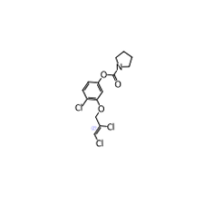 O=C(Oc1ccc(Cl)c(OC/C(Cl)=C/Cl)c1)N1CCCC1